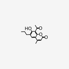 CCCc1cc2c(C)cc(=O)oc2c(C(C)=O)c1O